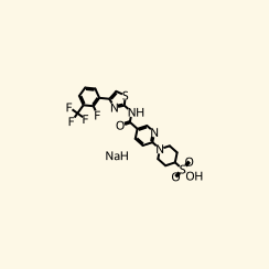 O=C(Nc1nc(-c2cccc(C(F)(F)F)c2F)cs1)c1ccc(N2CCC(S(=O)(=O)O)CC2)nc1.[NaH]